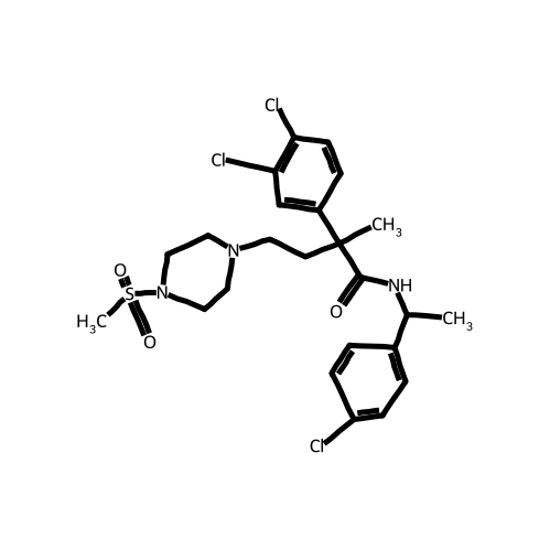 CC(NC(=O)C(C)(CCN1CCN(S(C)(=O)=O)CC1)c1ccc(Cl)c(Cl)c1)c1ccc(Cl)cc1